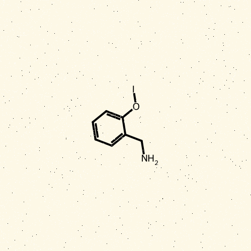 NCc1ccccc1OI